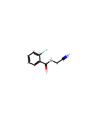 N#CC[Se]C(=O)c1ccccc1F